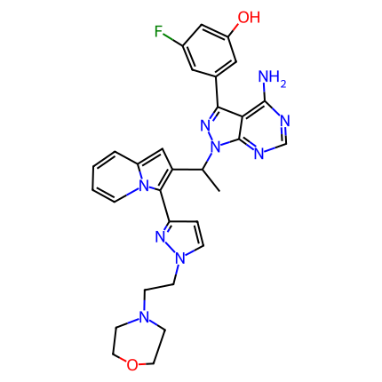 CC(c1cc2ccccn2c1-c1ccn(CCN2CCOCC2)n1)n1nc(-c2cc(O)cc(F)c2)c2c(N)ncnc21